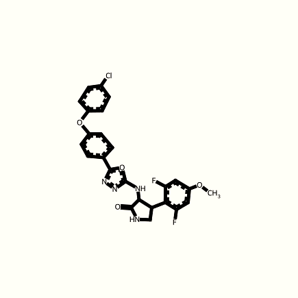 COc1cc(F)c(C2CNC(=O)C2Nc2nnc(-c3ccc(Oc4ccc(Cl)cc4)cc3)o2)c(F)c1